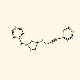 C(#Cc1ccccc1)COC1CCN(Cc2ccccc2)C1